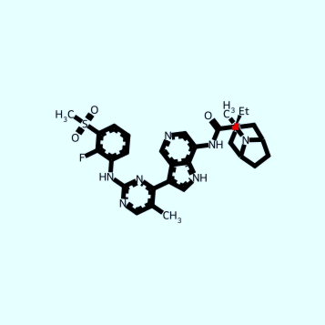 CC[C@H](C(=O)Nc1cncc2c(-c3nc(Nc4cccc(S(C)(=O)=O)c4F)ncc3C)c[nH]c12)N1C2CCC1CN(C)C2